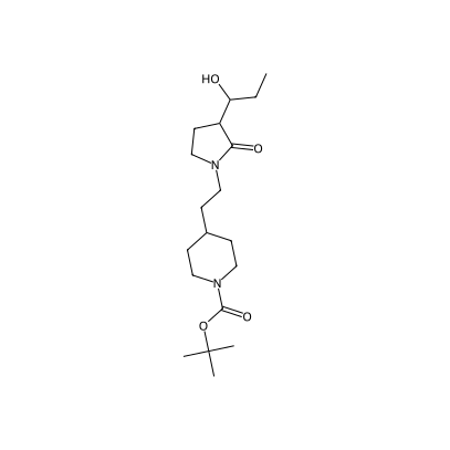 CCC(O)C1CCN(CCC2CCN(C(=O)OC(C)(C)C)CC2)C1=O